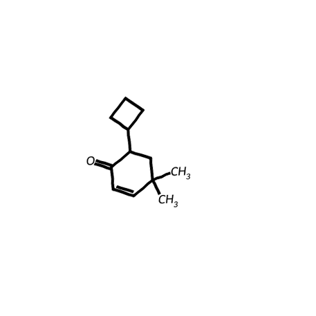 CC1(C)C=CC(=O)C(C2CCC2)C1